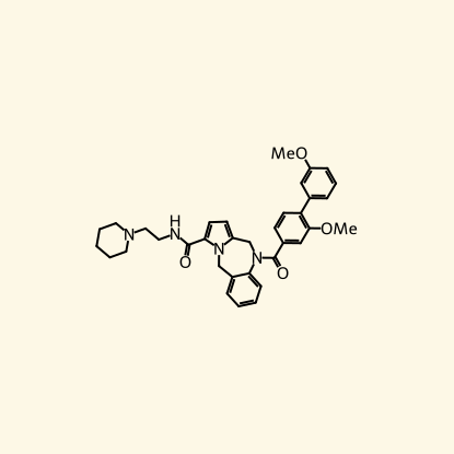 COc1cccc(-c2ccc(C(=O)N3Cc4ccc(C(=O)NCCN5CCCCC5)n4Cc4ccccc43)cc2OC)c1